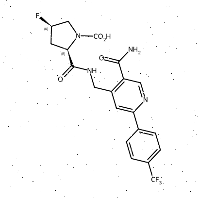 NC(=O)c1cnc(-c2ccc(C(F)(F)F)cc2)cc1CNC(=O)[C@H]1C[C@@H](F)CN1C(=O)O